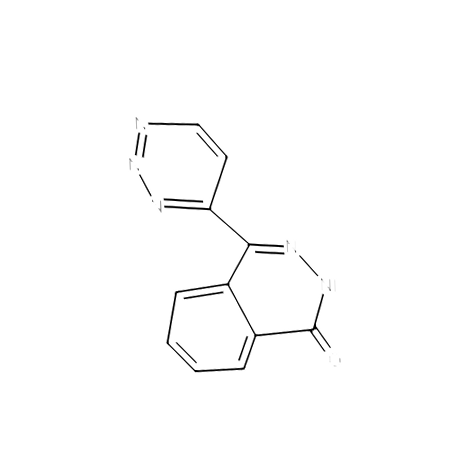 O=c1[nH]nc(-c2ccnnn2)c2ccccc12